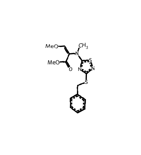 COC=C(C(=O)OC)N(C)c1nc(SCc2ccccc2)ns1